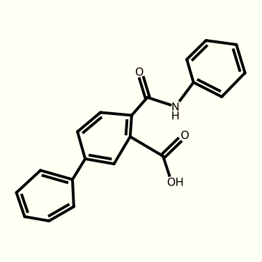 O=C(O)c1cc(-c2ccccc2)ccc1C(=O)Nc1ccccc1